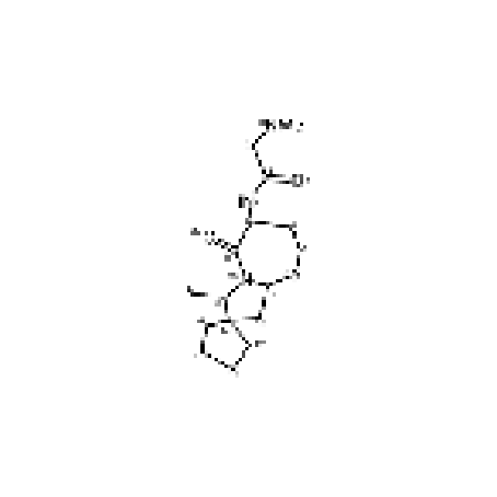 CNCC(=O)NC1CCSC2CC3(CCCC3)C(C)N2C1=O